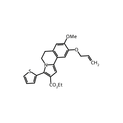 C=CCOc1cc2c(cc1OC)CCn1c-2cc(C(=O)OCC)c1-c1cccs1